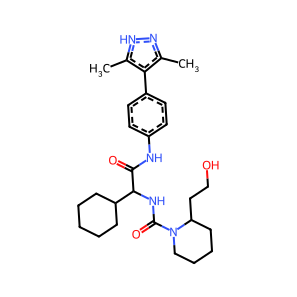 Cc1n[nH]c(C)c1-c1ccc(NC(=O)C(NC(=O)N2CCCCC2CCO)C2CCCCC2)cc1